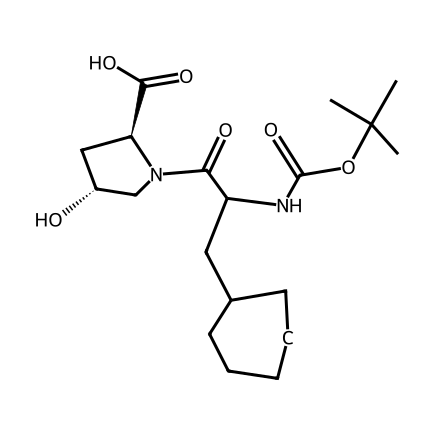 CC(C)(C)OC(=O)NC(CC1CCCCC1)C(=O)N1C[C@H](O)C[C@H]1C(=O)O